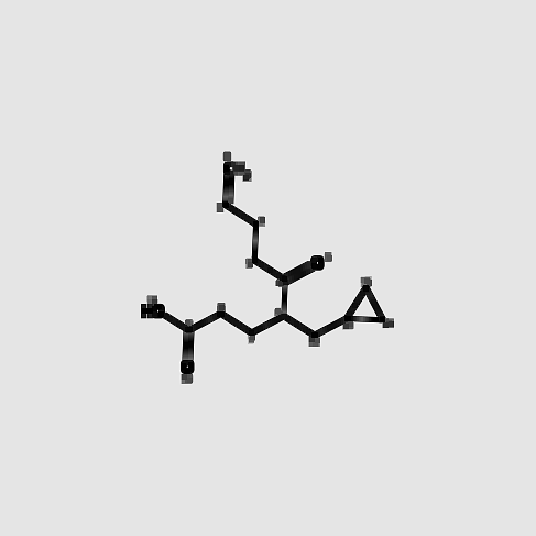 C=CCCC(=O)C(CCC(=O)O)CC1CC1